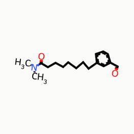 CN(C)C(=O)CCCCCCCc1cccc(C=O)c1